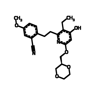 CCc1c(O)cc(OC[C@@H]2COCCO2)nc1CCc1ccc(OC)cc1C#N